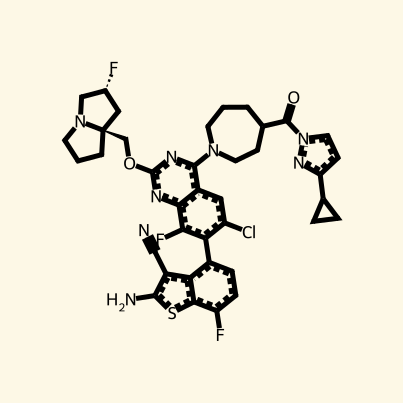 N#Cc1c(N)sc2c(F)ccc(-c3c(Cl)cc4c(N5CCCC(C(=O)n6ccc(C7CC7)n6)CC5)nc(OC[C@@]56CCCN5C[C@H](F)C6)nc4c3F)c12